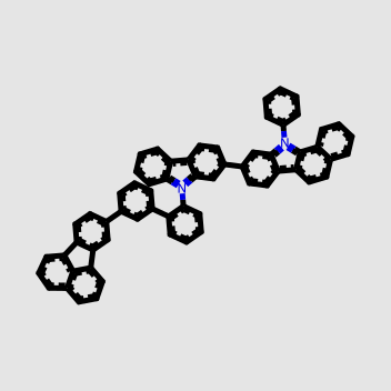 c1ccc(-n2c3cc(-c4ccc5c6ccccc6n(-c6ccccc6-c6cccc(-c7ccc8c(c7)-c7cccc9cccc-8c79)c6)c5c4)ccc3c3ccc4ccccc4c32)cc1